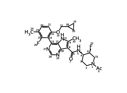 CC(=O)N1CC[C@@H](NC(=O)c2c(C)[nH]c3c(-c4c(OCC5CC5)ccc(C)c4F)ncnc23)[C@@H](F)C1